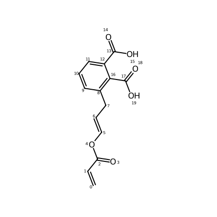 C=CC(=O)OC=CCc1cccc(C(=O)O)c1C(=O)O